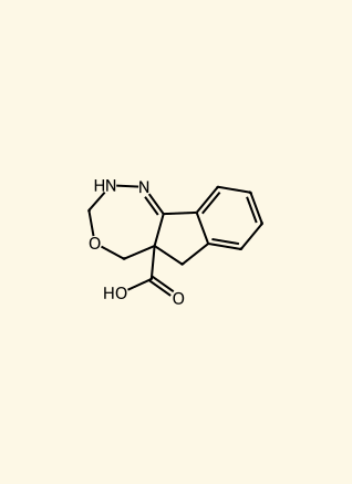 O=C(O)C12COCNN=C1c1ccccc1C2